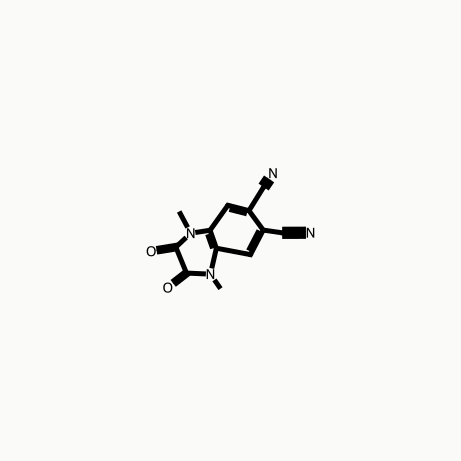 Cn1c(=O)c(=O)n(C)c2cc(C#N)c(C#N)cc21